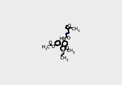 C=CCN1CC[C@@]2(c3cccc(OC(C)=O)c3)C[C@@H](NC(=O)/C=C/c3ccoc3C)CC[C@]2(OC)C1